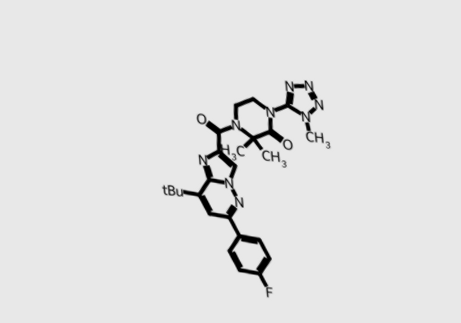 Cn1nnnc1N1CCN(C(=O)c2cn3nc(-c4ccc(F)cc4)cc(C(C)(C)C)c3n2)C(C)(C)C1=O